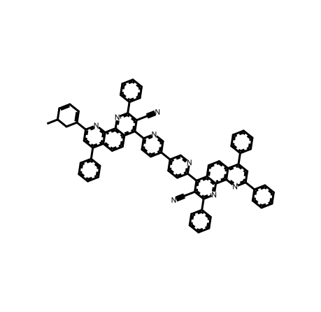 CC1C=CC=C(c2cc(-c3ccccc3)c3ccc4c(-c5ccc(-c6ccc(-c7c(C#N)c(-c8ccccc8)nc8c7ccc7c(-c9ccccc9)cc(-c9ccccc9)nc78)nc6)cn5)c(C#N)c(-c5ccccc5)nc4c3n2)C1